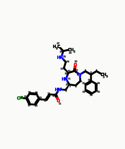 CCC(CN1CC[C@@H](CNC(=O)C=Cc2ccc(Cl)cc2)N[C@@H](CCNC(C)C)C1=O)c1ccccc1